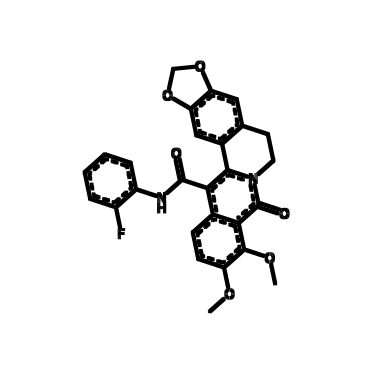 COc1ccc2c(C(=O)Nc3ccccc3F)c3n(c(=O)c2c1OC)CCc1cc2c(cc1-3)OCO2